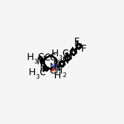 C=C1/N=C2\Nc3ccc(N4CCN(C5CCN(c6cc(F)cc(F)c6)CC5)C(C)C4)cc3N2CCCCCCc2c(cnn2C)-c2cc1cc(C)n2